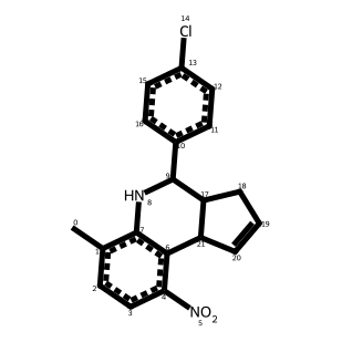 Cc1ccc([N+](=O)[O-])c2c1NC(c1ccc(Cl)cc1)C1CC=CC21